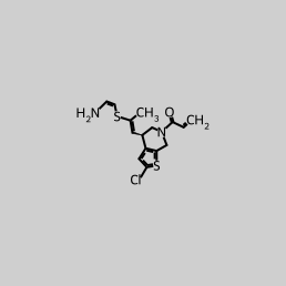 C=CC(=O)N1Cc2sc(Cl)cc2[C@@H](/C=C(\C)S/C=C\N)C1